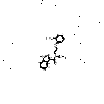 Cc1ccccc1OCCN(C)C(=O)c1n[nH]c2ccccc12